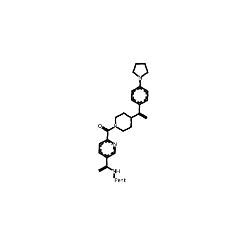 C=C(NC(C)CCC)c1ccc(C(=O)N2CCC(C(=C)c3ccc(N4CCCC4)cc3)CC2)nc1